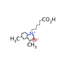 Cc1ccc2c(c1)c(C)cc[n+]2CCCCCC(=O)O.[Br-]